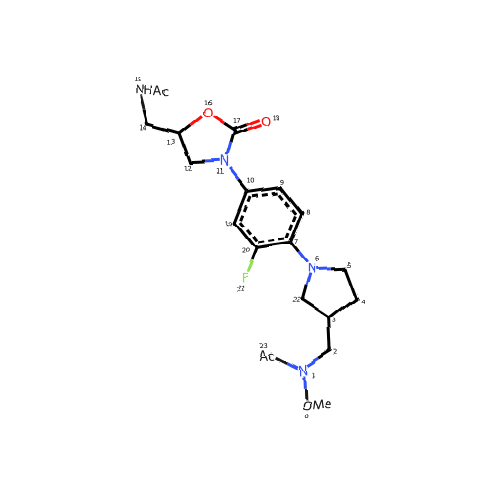 CON(CC1CCN(c2ccc(N3CC(CNC(C)=O)OC3=O)cc2F)C1)C(C)=O